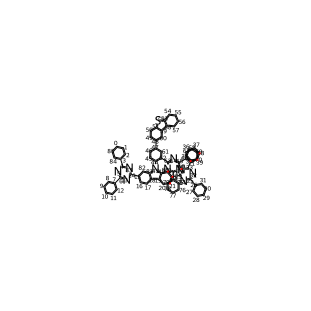 c1ccc(-c2nc(-c3ccccc3)nc(-c3ccc4c5ccc(-c6nc(-c7ccccc7)nc(-c7ccccc7)n6)cc5n(-c5ccc(-c6ccc7sc8ccccc8c7c6)cc5-c5nc(-c6ccccc6)nc(-c6ccccc6)n5)c4c3)n2)cc1